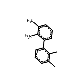 Cc1cccc(-c2cccc(N)c2N)c1C